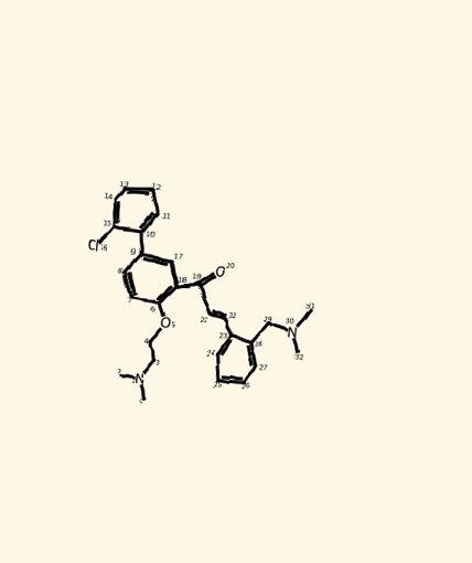 CN(C)CCOc1ccc(-c2ccccc2Cl)cc1C(=O)C=Cc1ccccc1CN(C)C